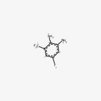 Nc1cc(F)cc(C(F)(F)F)c1N